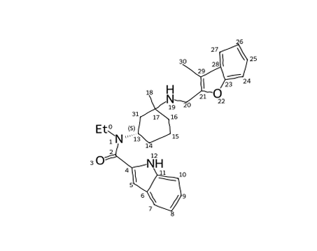 CCN(C(=O)c1cc2ccccc2[nH]1)[C@H]1CCCC(C)(NCc2oc3ccccc3c2C)C1